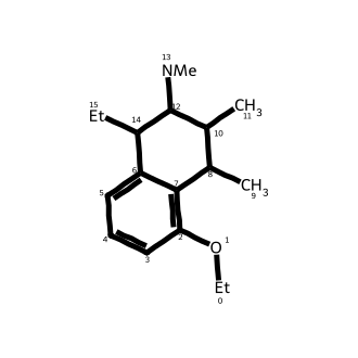 CCOc1cccc2c1C(C)C(C)C(NC)C2CC